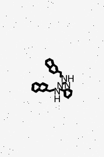 c1ccc2cc(CCNc3nc(NCCc4ccc5ccccc5c4)c4ccccc4n3)ccc2c1